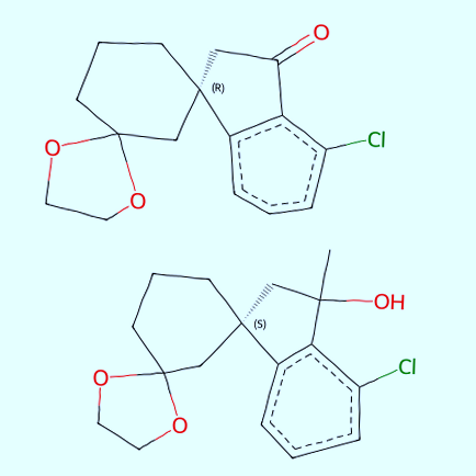 CC1(O)C[C@]2(CCCC3(C2)OCCO3)c2cccc(Cl)c21.O=C1C[C@]2(CCCC3(C2)OCCO3)c2cccc(Cl)c21